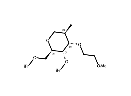 COCCO[C@@H]1[C@H](OC(C)C)[C@@H](COC(C)C)OC[C@H]1C